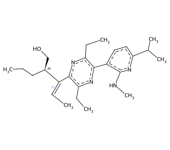 C/C=C(\c1nc(CC)c(-c2ccc(C(C)C)nc2NC)nc1CC)[C@H](CO)CCC